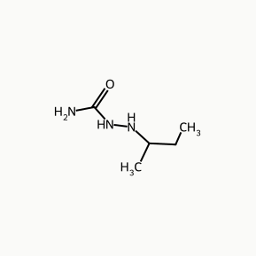 CCC(C)NNC(N)=O